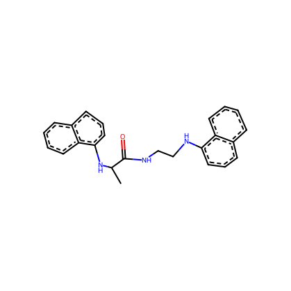 CC(Nc1cccc2ccccc12)C(=O)NCCNc1cccc2ccccc12